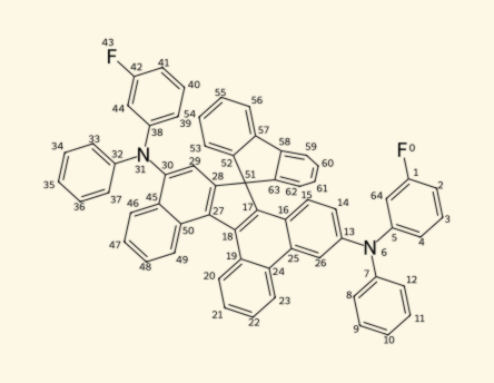 Fc1cccc(N(c2ccccc2)c2ccc3c4c(c5ccccc5c3c2)-c2c(cc(N(c3ccccc3)c3cccc(F)c3)c3ccccc23)C42c3ccccc3-c3ccccc32)c1